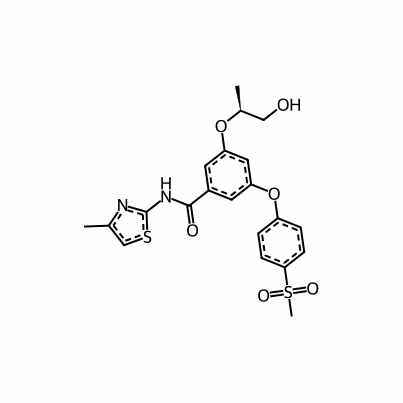 Cc1csc(NC(=O)c2cc(Oc3ccc(S(C)(=O)=O)cc3)cc(O[C@@H](C)CO)c2)n1